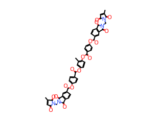 CC1=CC(=O)N(CN2C(=O)c3ccc(C(=O)Oc4ccc(C(=O)Oc5ccc(OC(=O)c6ccc(OC(=O)c7ccc8c(c7)C(=O)N(CN7C(=O)C=C(C)C7=O)C8=O)cc6)c(C)c5)cc4)cc3C2=O)C1=O